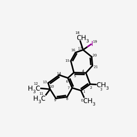 Cc1c(C)c2c(c3c1C=CC(C)(C)C=C3)C=CC(C)(I)C=C2